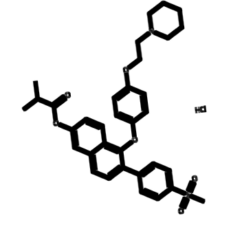 CC(C)C(=O)Oc1ccc2c(Oc3ccc(OCCN4CCCCC4)cc3)c(-c3ccc(S(C)(=O)=O)cc3)ccc2c1.Cl